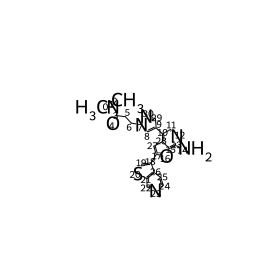 CN(C)C(=O)CCn1cc(-c2cnc(N)c3oc(-c4csc5cnccc45)cc23)cn1